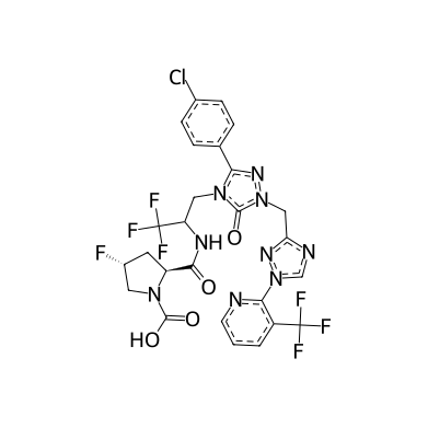 O=C(NC(Cn1c(-c2ccc(Cl)cc2)nn(Cc2ncn(-c3ncccc3C(F)(F)F)n2)c1=O)C(F)(F)F)[C@@H]1C[C@@H](F)CN1C(=O)O